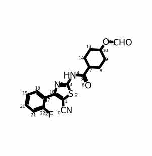 N#Cc1sc(NC(=O)C2CCC(OC=O)CC2)nc1-c1ccccc1F